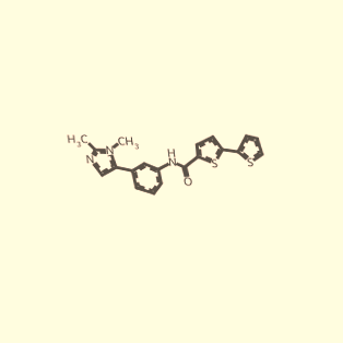 Cc1ncc(-c2cccc(NC(=O)c3ccc(-c4cccs4)s3)c2)n1C